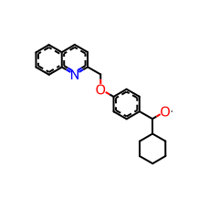 [O]C(c1ccc(OCc2ccc3ccccc3n2)cc1)C1CCCCC1